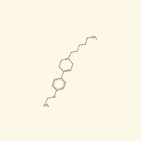 CCCCCCC1CC=C(c2ccc(OCC)cc2)CC1